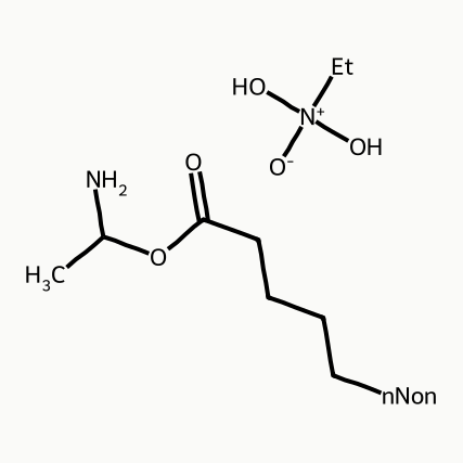 CCCCCCCCCCCCCC(=O)OC(C)N.CC[N+]([O-])(O)O